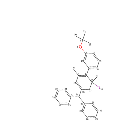 CC1=C(c2cccc(OC(C)(C)C)c2)C(C)(I)CC(C(c2ccccc2)c2ccccc2)=C1